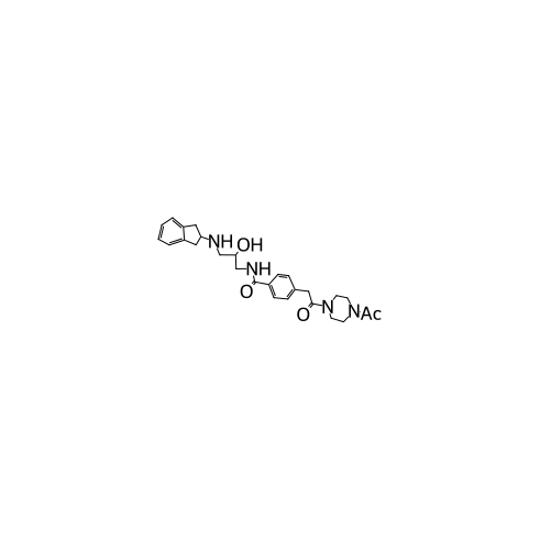 CC(=O)N1CCN(C(=O)Cc2ccc(C(=O)NCC(O)CNC3Cc4ccccc4C3)cc2)CC1